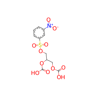 O=C(O)OCC(COS(=O)(=O)c1cccc([N+](=O)[O-])c1)OC(=O)O